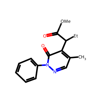 CCC(C(=O)OC)c1c(C)cnn(-c2ccccc2)c1=O